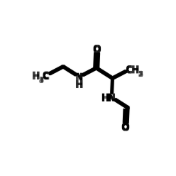 CCNC(=O)C(C)NC=O